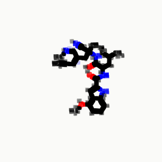 C#C/C=C(\C=N/C)CC(C)(C#N)NC(=O)C(CC(C)C)NC(=O)c1cc2c(OC)cccc2[nH]1